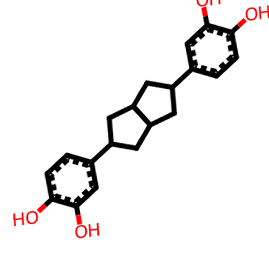 Oc1ccc(C2CC3CC(c4ccc(O)c(O)c4)CC3C2)cc1O